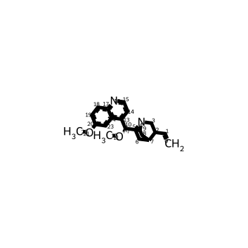 C=CC1CN2CCC1CC2[C@H](OC)c1ccnc2ccc(OC)cc12